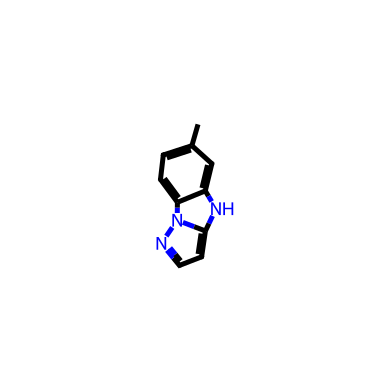 Cc1ccc2c(c1)[nH]c1ccnn12